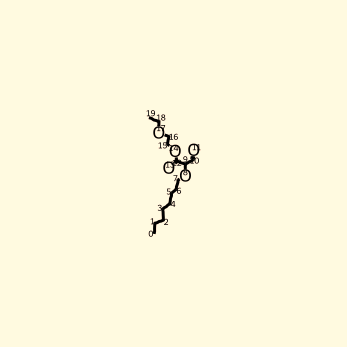 CCCCCCCCOC(C=O)C(=O)OCCOCC